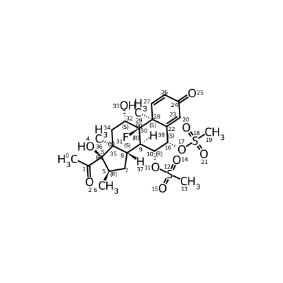 CC(=O)[C@@]1(O)[C@H](C)C[C@H]2[C@@H]3[C@@H](OS(C)(=O)=O)[C@@H](OS(C)(=O)=O)C4=CC(=O)C=C[C@]4(C)[C@@]3(F)[C@@H](O)C[C@@]21C